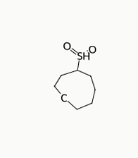 O=[SH](=O)C1CCCCCCC1